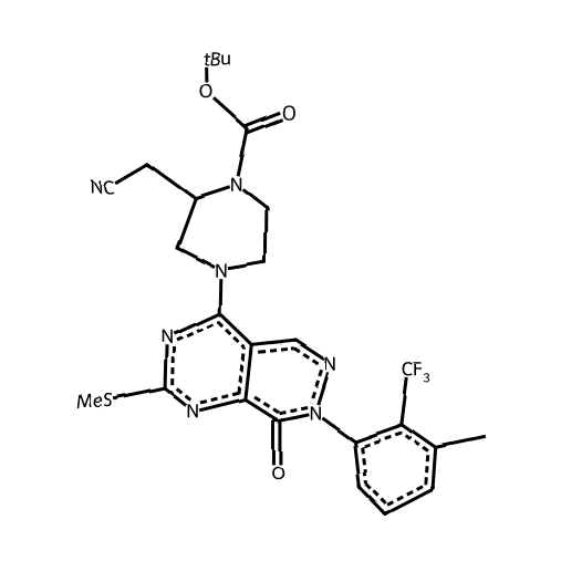 CSc1nc(N2CCN(C(=O)OC(C)(C)C)C(CC#N)C2)c2cnn(-c3cccc(C)c3C(F)(F)F)c(=O)c2n1